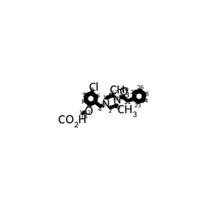 CC1CN(Cc2cc(Cl)ccc2OCC(=O)O)C[C@@H](C)N1C(=O)Cc1ccccc1